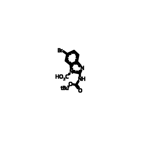 CC(C)(C)OC(=O)Nc1nc2ccc(Br)cc2n1C(=O)O